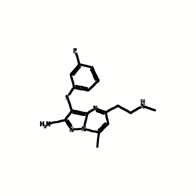 CNCCc1cc(C)n2nc(N)c(Sc3cccc(F)c3)c2n1